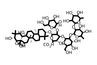 CC1O[C@@H](OC2[C@H](OC3[C@H](O[C@H]4C(O[C@@H]5OC(CO)[C@H](O)[C@@H](O)C5O)[C@H](O[C@H]5CC[C@@]6(C)C(CC[C@]7(C)C6CC[C@]6(O)C8CC(C)(C)[C@@H](O)[C@H](O)[C@]8([C@H](C)O)[C@H](O)C[C@@]76C)C5(C)C)OC(C(=O)O)[C@H]4O)OC(CO)[C@H](O)[C@H]3O)OC(C)[C@H](O)[C@@H]2O)C(O)[C@@H](O)[C@H]1O